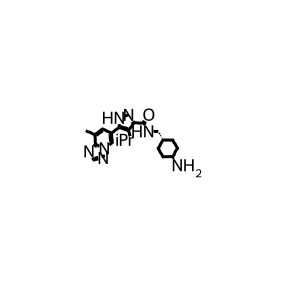 Cc1cc(-c2[nH]nc(C(=O)NC[C@H]3CC[C@H](N)CC3)c2C(C)C)cn2ncnc12